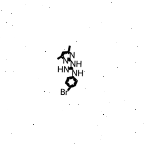 Cc1cc(C)nc(NC(=N)Nc2ccc(Br)cc2)n1